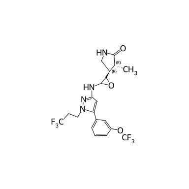 C[C@H]1C(=O)NC[C@@H]1C1OC1Nc1cc(-c2cccc(OC(F)(F)F)c2)n(CCC(F)(F)F)n1